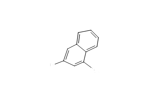 CCc1cc(N)c2ccccc2c1